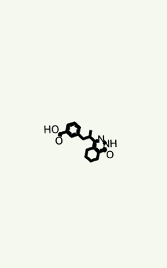 CC(Cc1cccc(C(=O)O)c1)c1n[nH]c(=O)c2c1CCCC2